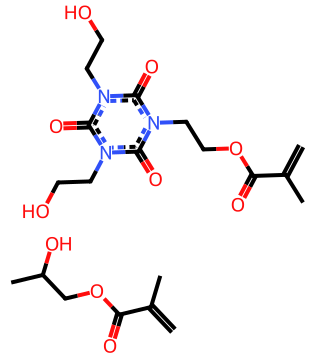 C=C(C)C(=O)OCC(C)O.C=C(C)C(=O)OCCn1c(=O)n(CCO)c(=O)n(CCO)c1=O